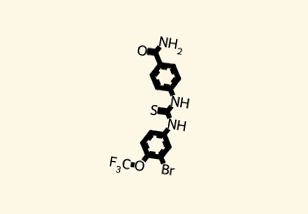 NC(=O)c1ccc(NC(=S)Nc2ccc(OC(F)(F)F)c(Br)c2)cc1